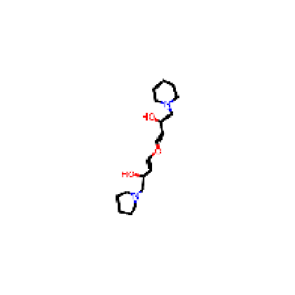 OC(C=COC=CC(O)CN1CCCCC1)CN1CCCCC1